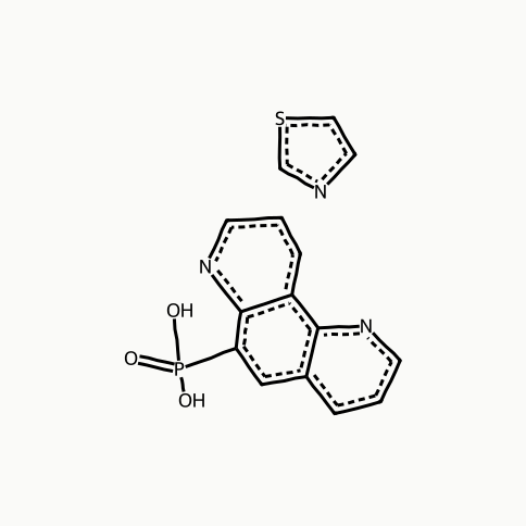 O=P(O)(O)c1cc2cccnc2c2cccnc12.c1cscn1